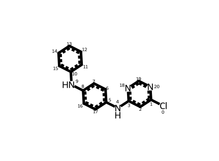 Clc1cc(Nc2ccc(Nc3ccccc3)cc2)ncn1